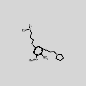 CCCCNc1cc(OCCCN(CC)CC)cc(OCCN2CCCC2)c1[N+](=O)[O-]